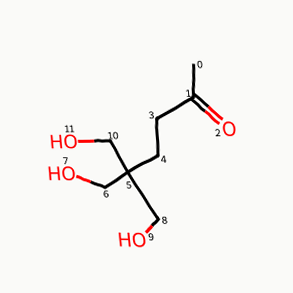 CC(=O)CCC(CO)(CO)CO